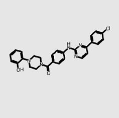 O=C(c1ccc(Nc2nccc(-c3ccc(Cl)cc3)n2)cc1)N1CCN(c2ccccc2O)CC1